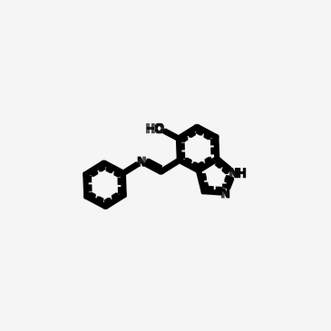 Oc1ccc2[nH]ncc2c1C=Nc1ccccc1